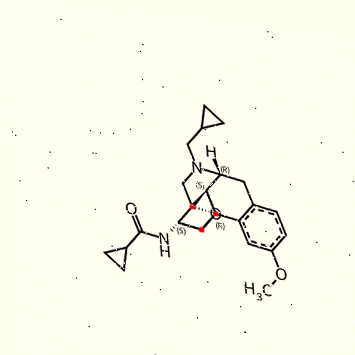 COc1ccc2c(c1)[C@]13CCN(CC4CC4)[C@H](C2)[C@]12CC[C@@](NC(=O)C1CC1)(CO2)C3